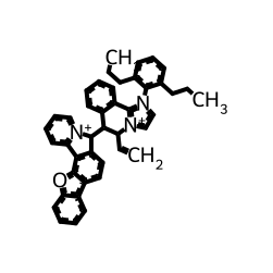 C=CC1C(C2c3ccc4c(oc5ccccc54)c3-c3cccc[n+]32)c2ccccc2-c2n(-c3c(CCC)cccc3CCC)cc[n+]21